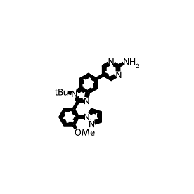 COc1cccc(-c2nc3cc(-c4cnc(N)nc4)ccc3n2C(C)(C)C)c1-n1cccn1